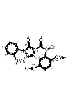 CCN(C(=O)n1nnn(-c2ccccc2OC)c1=O)c1cc(C=O)ccc1OC